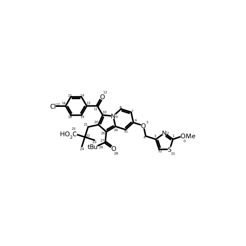 COc1nc(COc2ccn3c(C(=O)c4ccc(Cl)cc4)c(CC(C)(C)C(=O)O)c(C(=O)C(C)(C)C)c3c2)cs1